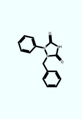 O=C1NC(=O)[N+](c2ccccc2)N1Cc1ccccc1